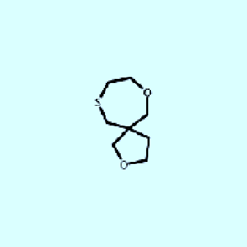 C1CSCC2(CCOC2)CO1